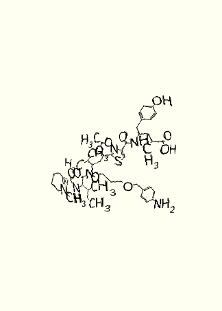 CCC(C)C(NC(=O)[C@H]1CCCCN1C)C(=O)N(OCCCOCc1ccc(N)cc1)C(CC(OC(C)=O)c1nc(C(=O)NC(Cc2ccc(O)cc2)CC(C)C(=O)O)cs1)C(C)C